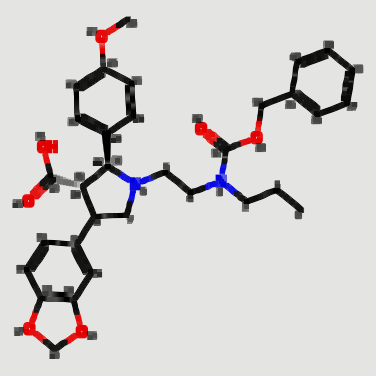 CCCN(CCN1CC(c2ccc3c(c2)OCO3)[C@H](C(=O)O)[C@H]1c1ccc(OC)cc1)C(=O)OCc1ccccc1